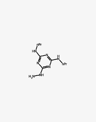 CCCNc1nc(NN)nc(NCCC)n1